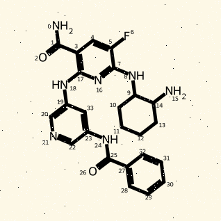 NC(=O)c1cc(F)c(NC2CCCCC2N)nc1Nc1cncc(NC(=O)c2ccccc2)c1